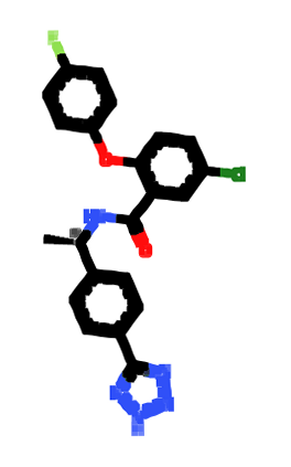 C[C@H](NC(=O)c1cc(Cl)ccc1Oc1ccc(F)cc1)c1ccc(-c2nn[nH]n2)cc1